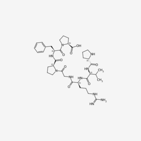 CC(C)[C@H](NC(=O)[C@@H]1CCCN1)C(=O)N[C@@H](CCCNC(=N)N)C(=O)NCC(=O)N1CCC[C@H]1C(=O)N[C@@H](Cc1ccccc1)C(=O)N1CCC[C@H]1C(=O)O